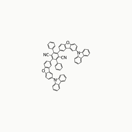 N#Cc1c(-c2ccccc2)c(-c2ccc3oc4ccc(-n5c6ccccc6c6ccccc65)cc4c3c2)c(C#N)c(-c2ccccc2)c1-c1ccc2oc3ccc(-n4c5ccccc5c5ccccc54)cc3c2c1